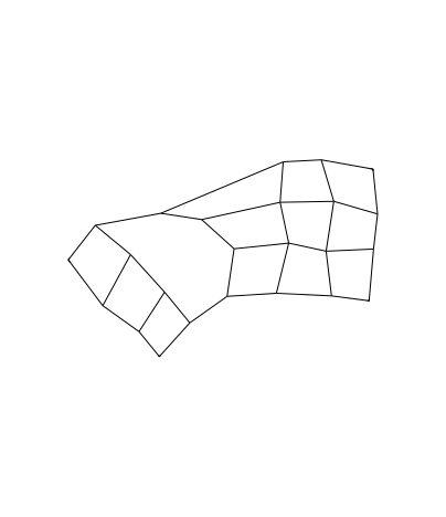 C1C2C3CC4C3C2C1C1C2C3CC5C6CC7C8C4C4C1C21C53C67C841